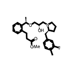 COC(=O)CCc1ccccc1[C@@H](C)OC[C@@H](O)CN1CCC[C@H]1Cc1ccc(C)c(F)c1